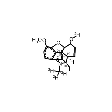 [2H]OC1C=C[C@H]2[C@@H]3N(C([2H])([2H])[2H])CC[C@@]24c2c(ccc(OC)c2OC14)C3([2H])[2H]